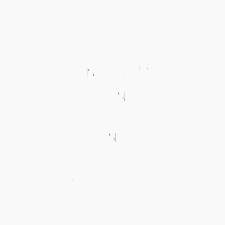 CC(C(=O)N1CCN(CC2CC2)c2ccccc21)N1CCCC1